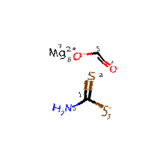 NC(=S)[S-].O=C[O-].[Mg+2]